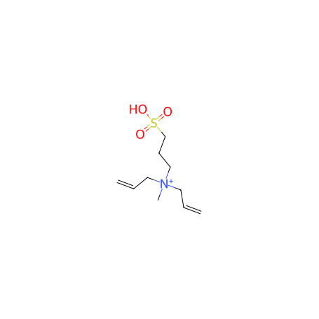 C=CC[N+](C)(CC=C)CCCS(=O)(=O)O